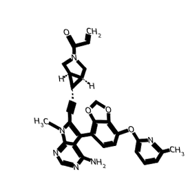 C=CC(=O)N1C[C@@H]2[C@@H](C#Cc3c(-c4ccc(Oc5cccc(C)n5)c5c4OCO5)c4c(N)ncnc4n3C)[C@@H]2C1